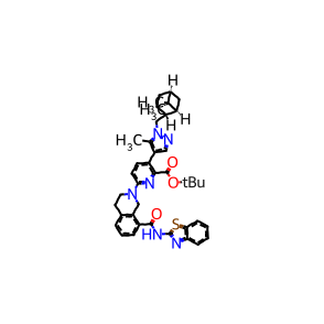 Cc1c(-c2ccc(N3CCc4cccc(C(=O)Nc5nc6ccccc6s5)c4C3)nc2C(=O)OC(C)(C)C)cnn1C[C@@H]1CC[C@H]2C[C@@H]1C2(C)C